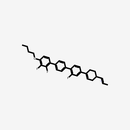 C/C=C/C1CC=C(c2ccc(-c3ccc(-c4ccc(OCCCC)c(F)c4F)cc3)c(F)c2)CC1